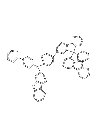 c1ccc(-c2ccc(N(c3ccc(-c4ccc5c(c4)C(c4ccccc4)(c4cccc6c4oc4ccccc46)c4ccccc4-5)cc3)c3ccc4c(c3)sc3ccccc34)cc2)cc1